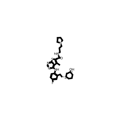 Cc1c(C(=O)NCCCN2CCCC2)sc2ncnc(Nc3ccc(F)cc3CC[C@H]3CCC[C@H](O)C3)c12